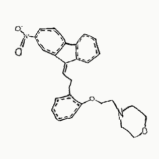 O=[N+]([O-])c1ccc2c(c1)/C(=C/Cc1ccccc1OCCN1CCOCC1)c1ccccc1-2